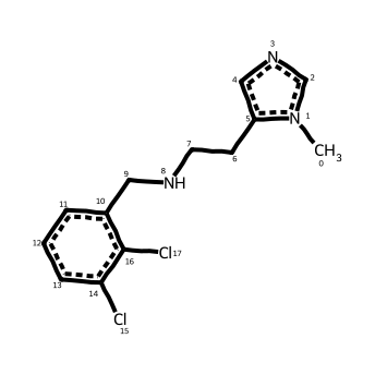 Cn1cncc1CCNCc1cccc(Cl)c1Cl